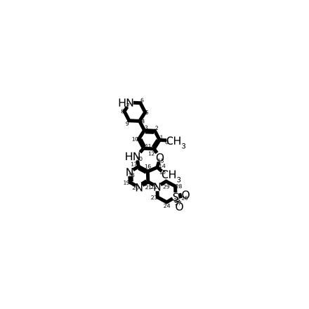 Cc1cc(C2CCNCC2)cc2c1OC(C)c1c(ncnc1N1CCS(=O)(=O)CC1)N2